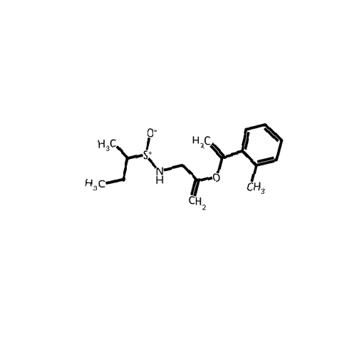 C=C(CN[S+]([O-])C(C)CC)OC(=C)c1ccccc1C